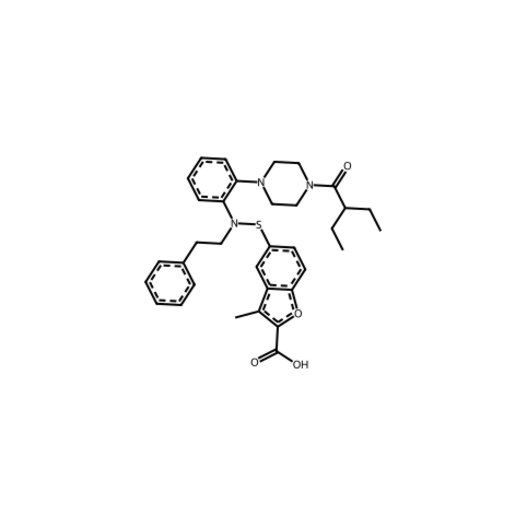 CCC(CC)C(=O)N1CCN(c2ccccc2N(CCc2ccccc2)Sc2ccc3oc(C(=O)O)c(C)c3c2)CC1